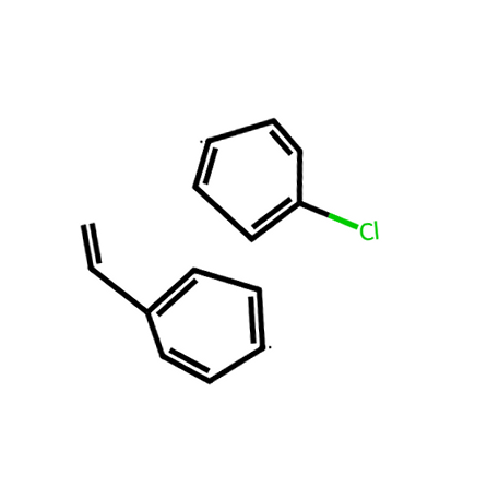 C=Cc1cc[c]cc1.Clc1cc[c]cc1